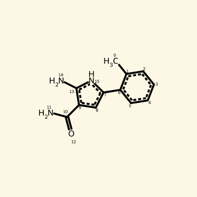 Cc1ccccc1-c1cc(C(N)=O)c(N)[nH]1